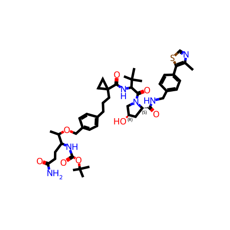 Cc1ncsc1-c1ccc(CNC(=O)[C@@H]2C[C@@H](O)CN2C(=O)C(NC(=O)C2(CCCc3ccc(COC(C)C(CCC(N)=O)NC(=O)OC(C)(C)C)cc3)CC2)C(C)(C)C)cc1